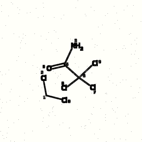 ClCCl.NC(=O)C(Cl)(Cl)Cl